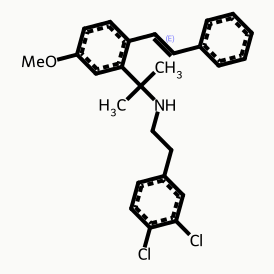 COc1ccc(/C=C/c2ccccc2)c(C(C)(C)NCCc2ccc(Cl)c(Cl)c2)c1